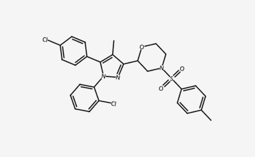 Cc1ccc(S(=O)(=O)N2CCOC(c3nn(-c4ccccc4Cl)c(-c4ccc(Cl)cc4)c3C)C2)cc1